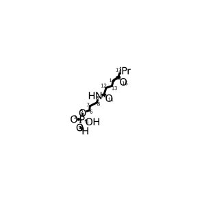 [3H]OP(=O)(O)OCCCNC(=O)CCCC(=O)C(C)C